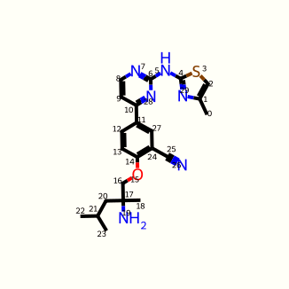 Cc1csc(Nc2nccc(-c3ccc(OCC(C)(N)CC(C)C)c(C#N)c3)n2)n1